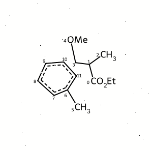 CCOC(=O)C(C)COC.Cc1ccccc1